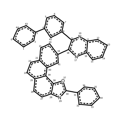 c1ccc(-c2cccc(-c3nc4ccccc4nc3-c3ccc4ccc5ccc6nc(-c7ccccc7)oc6c5c4c3)c2)cc1